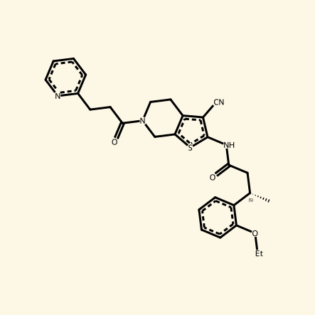 CCOc1ccccc1[C@@H](C)CC(=O)Nc1sc2c(c1C#N)CCN(C(=O)CCc1ccccn1)C2